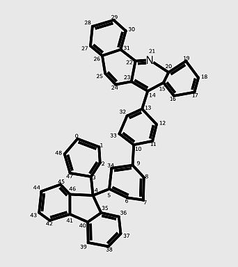 c1ccc(C2(c3cccc(-c4ccc(-c5c6ccccc6nc6c5ccc5ccccc56)cc4)c3)c3ccccc3-c3ccccc32)cc1